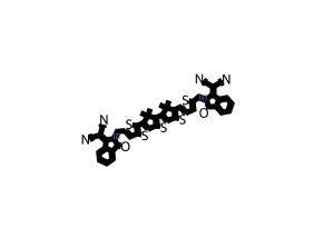 CC1(C)c2c(sc3c2C(C)(C)c2c-3sc3cc(/C=C4\C(=O)c5ccccc5C4=C(C#N)C#N)sc23)-c2sc3cc(/C=C4\C(=O)c5ccccc5C4=C(C#N)C#N)sc3c21